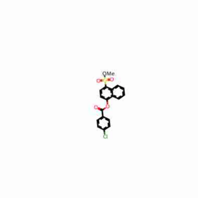 COS(=O)(=O)c1ccc(OC(=O)c2ccc(Cl)cc2)c2ccccc12